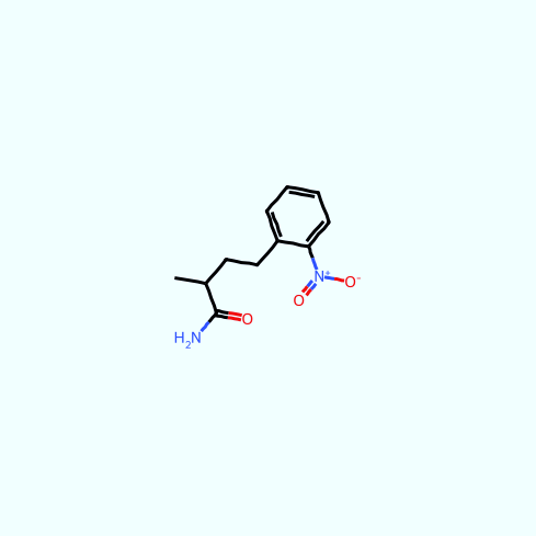 CC(CCc1ccccc1[N+](=O)[O-])C(N)=O